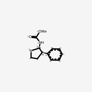 COC(=O)N[C@@H]1[N]CC[C@@H]1c1ccccc1